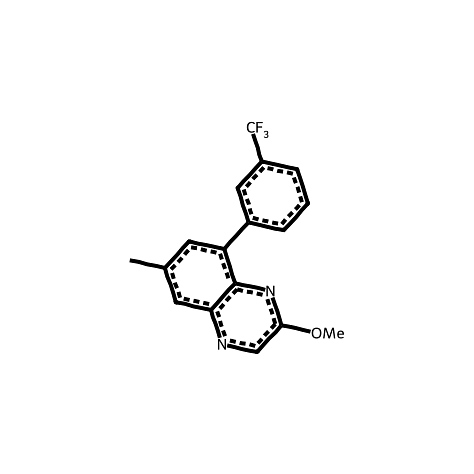 COc1cnc2cc(C)cc(-c3cccc(C(F)(F)F)c3)c2n1